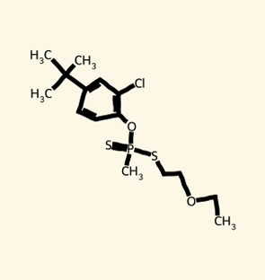 CCOCCSP(C)(=S)Oc1ccc(C(C)(C)C)cc1Cl